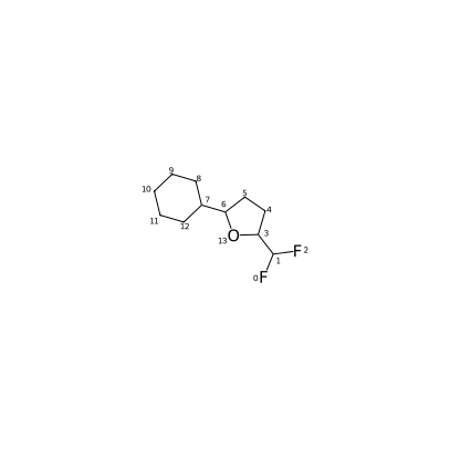 FC(F)C1CCC(C2CCCCC2)O1